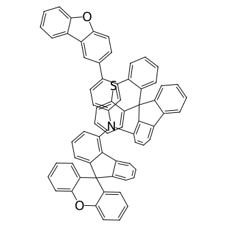 c1ccc2c(c1)Oc1ccccc1C21c2ccccc2-c2c(N(c3ccc(-c4ccc5oc6ccccc6c5c4)cc3)c3cccc4c3C3(c5ccccc5Sc5ccccc53)c3ccccc3-4)cccc21